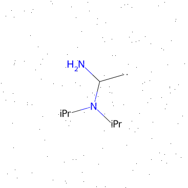 [CH2]C(N)N(C(C)C)C(C)C